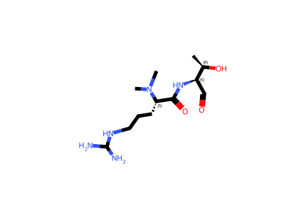 C[C@@H](O)[C@@H](C=O)NC(=O)[C@H](CCCNC(N)N)N(C)C